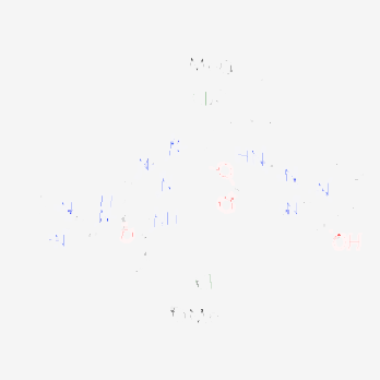 COc1ccc(CNc2nc(N3CCCC3COC(=O)c3cnc(N4CCCC4CO)nc3NCc3ccc(OC)c(Cl)c3)ncc2C(=O)NCc2ncccn2)cc1Cl